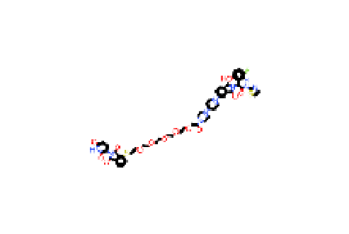 O=C1CCC(N2C(=O)c3cccc(SCCOCCOCCOCCOCCOCC(=O)N4CCN(C5CCN(c6ccc7c(c6)C(=O)N(C(C(=O)Nc6nccs6)c6cc(F)ccc6O)C7)CC5)CC4)c3C2=O)C(=O)N1